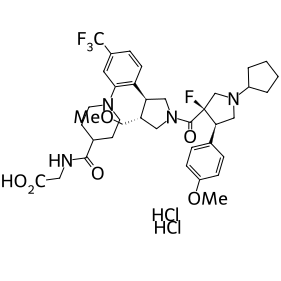 COC[C@H]1CN(C(=O)[C@]2(F)CN(C3CCCC3)C[C@H]2c2ccc(OC)cc2)C[C@@H]1c1ccc(C(F)(F)F)cc1N1CCC(C(=O)NCC(=O)O)CC1.Cl.Cl